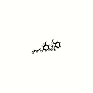 COc1ccccc1S(=O)(=O)Oc1cc(C)cc(OCCC=O)c1